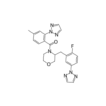 Cc1ccc(C(=O)N2CCOCC2Cc2cc(-n3nccn3)ccc2F)c(-n2nccn2)c1